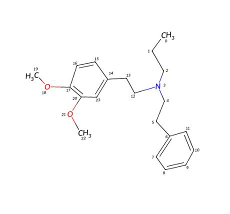 CCCN(CCc1ccccc1)CCc1ccc(OC)c(OC)c1